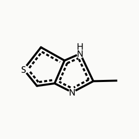 Cc1nc2cscc2[nH]1